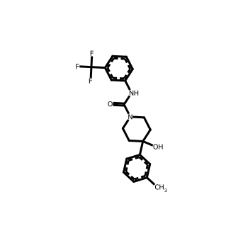 Cc1cccc(C2(O)CCN(C(=O)Nc3cccc(C(F)(F)F)c3)CC2)c1